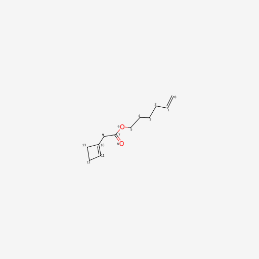 C=CCCCCOC(=O)CC1=CCC1